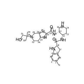 Cc1ccc2c(c1)CC(C(=O)N[C@H]1CCNC[C@H]1NC(=O)c1nc3c(s1)CN(C(C)(C)CO)CC3)N2